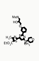 CCOC(=O)c1sc(-c2cc(N(C)C3CCOCC3)nc(-c3cccc(OCC(O)CNC)c3)n2)nc1C